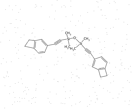 C[Si](C)(C#Cc1ccc2c(c1)CC2)O[Si](C)(C)C#Cc1ccc2c(c1)CC2